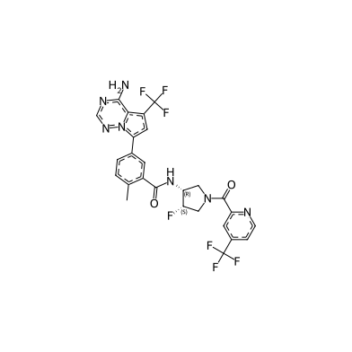 Cc1ccc(-c2cc(C(F)(F)F)c3c(N)ncnn23)cc1C(=O)N[C@@H]1CN(C(=O)c2cc(C(F)(F)F)ccn2)C[C@@H]1F